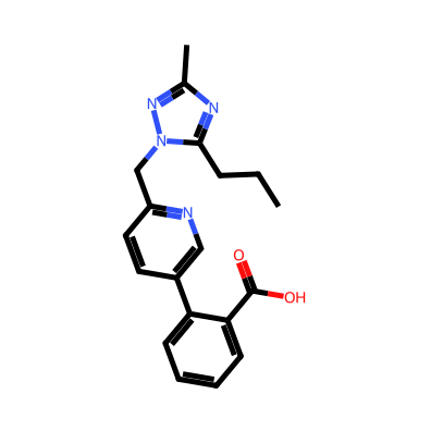 CCCc1nc(C)nn1Cc1ccc(-c2ccccc2C(=O)O)cn1